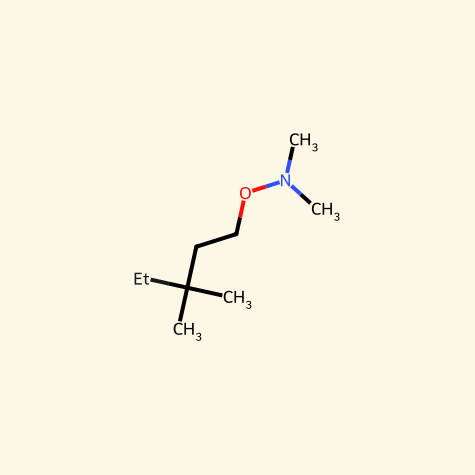 CCC(C)(C)CCON(C)C